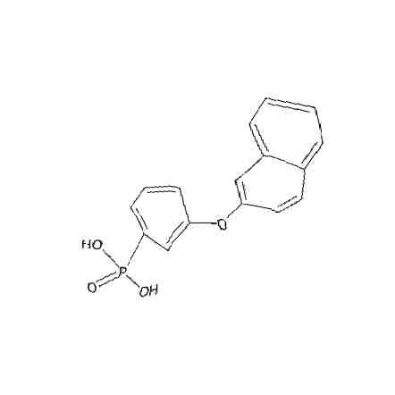 O=P(O)(O)c1cccc(Oc2ccc3ccccc3c2)c1